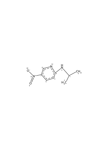 CC(C)Nc1ccc([N+](=O)[O-])cn1